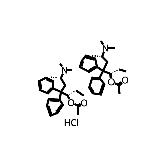 CC[C@H](OC(C)=O)C(C[C@H](C)N(C)C)(c1ccccc1)c1ccccc1.CC[C@H](OC(C)=O)C(C[C@H](C)N(C)C)(c1ccccc1)c1ccccc1.Cl